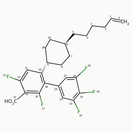 C=CCCCC[C@H]1CC[C@H](c2cc(F)c(C(=O)O)c(F)c2-c2cc(F)c(F)c(F)c2)CC1